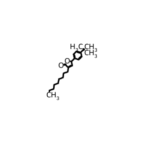 CCCCCCCCCC1=CC(c2ccc(C(C)(C)C)cc2)OC1=O